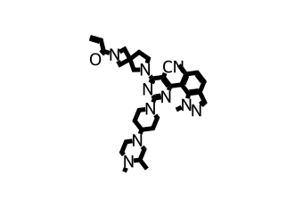 C=CC(=O)N1CC2(CCN(c3nc(N4CCC(N5CCN(C)C(C)C5)CC4)nc(-c4c(C)ccc5cnn(C)c45)c3C#N)C2)C1